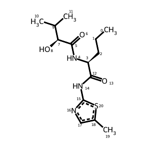 CCC[C@H](NC(=O)[C@@H](O)C(C)C)C(=O)Nc1ncc(C)s1